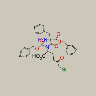 N[C@](Cc1ccccc1)(C(=O)OCc1ccccc1)C(=O)N(C(=O)OCc1ccccc1)[C@@H](CCC(=O)CBr)C(=O)O